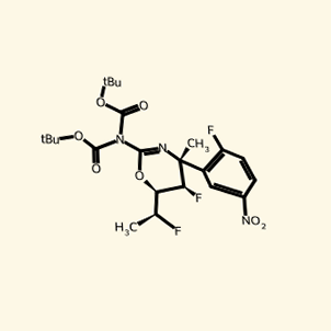 C[C@H](F)[C@H]1OC(N(C(=O)OC(C)(C)C)C(=O)OC(C)(C)C)=N[C@](C)(c2cc([N+](=O)[O-])ccc2F)[C@H]1F